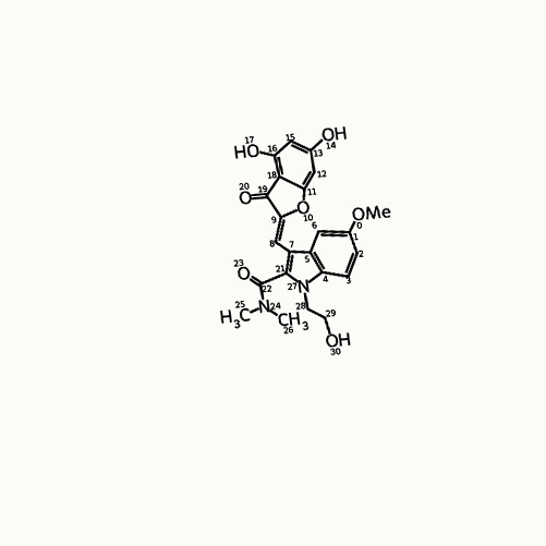 COc1ccc2c(c1)c(/C=C1\Oc3cc(O)cc(O)c3C1=O)c(C(=O)N(C)C)n2CCO